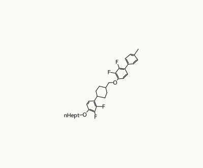 CCCCCCCOc1ccc(C2CCC(COc3ccc(-c4ccc(C)cc4)c(F)c3F)CC2)c(F)c1F